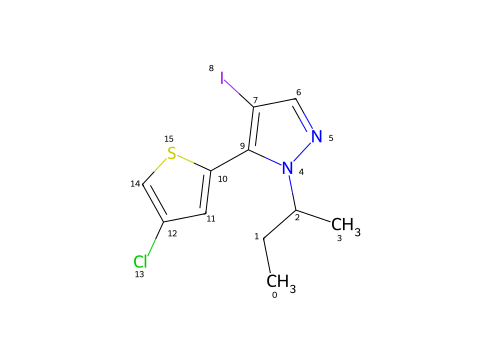 CCC(C)n1ncc(I)c1-c1cc(Cl)cs1